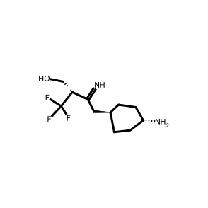 N=C(C[C@H]1CC[C@H](N)CC1)[C@@H](CO)C(F)(F)F